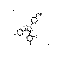 CCOc1ccc(C2=NN(c3ccc(C)cc3)N(c3ccc(C)cc3)N2)cc1.Cl